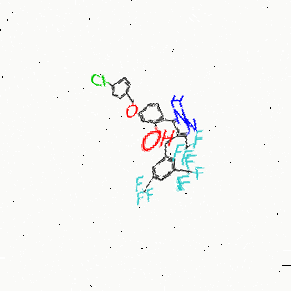 Oc1cc(OCc2ccc(Cl)cc2)ccc1-c1[nH]nc(C(F)(F)F)c1Cc1cc(C(F)(F)F)cc(C(F)(F)F)c1